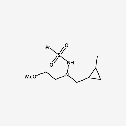 COCCN(CC1CC1C)NS(=O)(=O)C(C)C